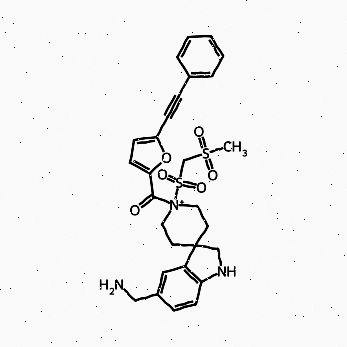 CS(=O)(=O)CS(=O)(=O)[N+]1(C(=O)c2ccc(C#Cc3ccccc3)o2)CCC2(CC1)CNc1ccc(CN)cc12